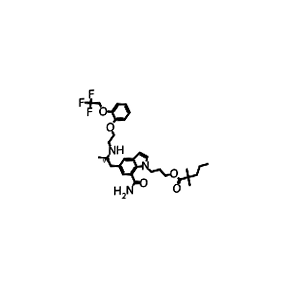 CCCC(C)(C)C(=O)OCCCn1ccc2cc(C[C@@H](C)NCCOc3ccccc3OCC(F)(F)F)cc(C(N)=O)c21